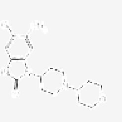 Cc1cc2c(cc1Cl)[nH]c(=O)n2C1CCN(C2CCOCC2)CC1